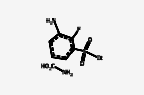 CCS(=O)(=O)c1cccc(N)c1F.NC(=O)O